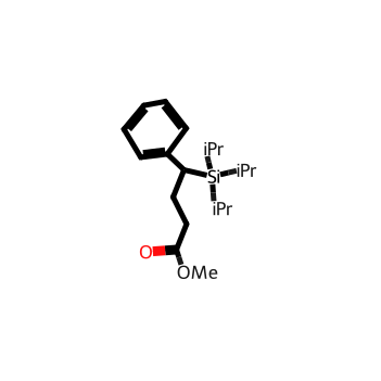 COC(=O)CCC(c1ccccc1)[Si](C(C)C)(C(C)C)C(C)C